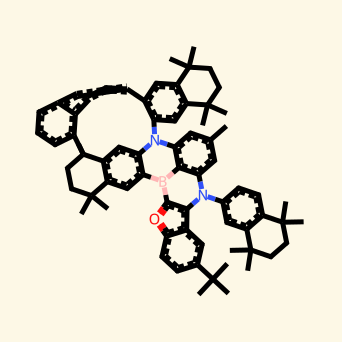 Cc1cc2c3c(c1)N(c1ccc4c(c1)C(C)(C)CCC4(C)C)c1c(oc4ccc(C(C)(C)C)cc14)B3c1cc3c4cc1N2c1cc2c(cc1-c1ccc5c(cccc5c1)C4(C)CCC3(C)C)C(C)(C)CCC2(C)C